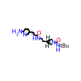 CC(C)(C)NC(=O)N1C[C@@H]2C(CCNC(=O)/C=C/c3ccc(N)nc3)[C@@H]2C1